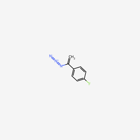 C=C(N=[N+]=[N-])c1ccc(F)cc1